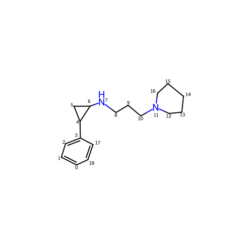 c1ccc(C2CC2NCCCN2CCCCC2)cc1